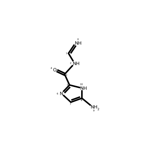 N=CNC(=O)c1ncc(N)[nH]1